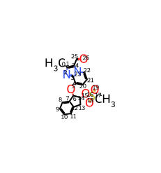 Cc1nc2c(O[C@@H]3c4ccccc4C[C@H]3OS(C)(=O)=O)cccn2c1C=O